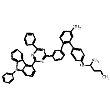 CCCC(N)Nc1ccc(-c2cc(N)ccc2-c2cccc(-c3nc(-c4ccccc4)nc(-c4cccc5c4c4ccccc4n5-c4ccccc4)n3)c2)cc1